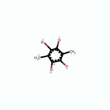 Cc1c(Br)c(Br)c(C)c(Br)c1Br